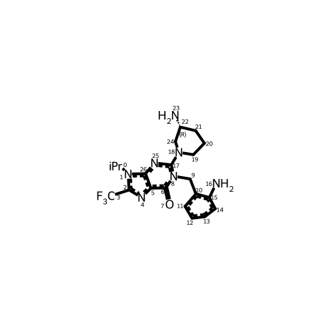 CC(C)n1c(C(F)(F)F)nc2c(=O)n(Cc3ccccc3N)c(N3CCC[C@@H](N)C3)nc21